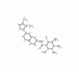 Bc1c(B)c(B)c(C(=O)Nc2cc3cc(-c4cnc(C)n4C)ccc3cn2)c(F)c1B